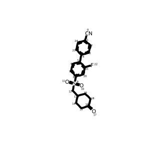 N#Cc1ccc(-c2ccc(S(=O)(=O)CC3CCC(=O)CC3)cc2F)cc1